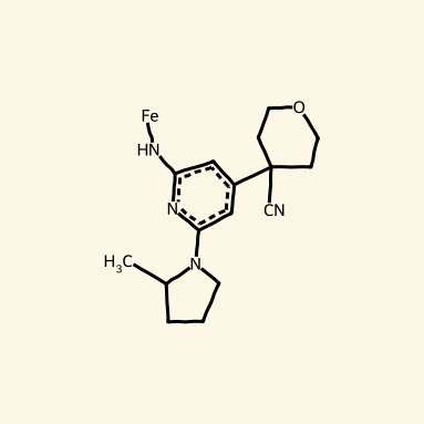 CC1CCCN1c1cc(C2(C#N)CCOCC2)cc([NH][Fe])n1